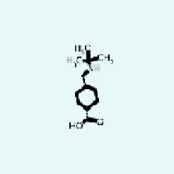 CC(C)(C)NC[C@H]1CC[C@H](C(=O)O)CC1